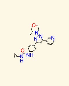 C[C@H]1COCCN1c1nc(-c2ccc(NC(=O)NC3CC3)cc2)cc(-c2cccnc2)n1